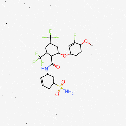 COC1CCC(OC2CC(C(F)(F)F)CC(C(F)(F)F)C2C(=O)NC2C=CCC(S(N)(=O)=O)C2)C=C1F